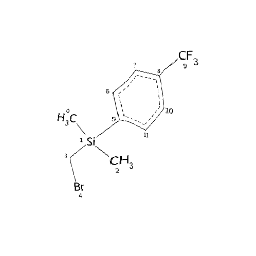 C[Si](C)(CBr)c1ccc(C(F)(F)F)cc1